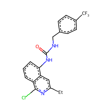 CCc1cc2c(NC(=O)NCc3ccc(C(F)(F)F)cc3)cccc2c(Cl)n1